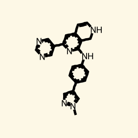 Cn1cc(-c2ccc(Nc3nc(-c4cncnc4)cc4c3CNC=C4)cc2)cn1